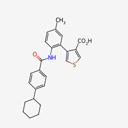 Cc1ccc(NC(=O)c2ccc(C3CCCCC3)cc2)c(-c2cscc2C(=O)O)c1